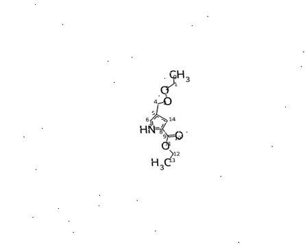 CCOOCc1c[nH]c(C(=O)OCC)c1